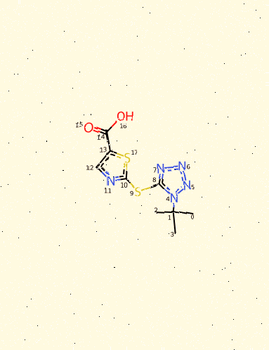 CC(C)(C)n1nnnc1Sc1ncc(C(=O)O)s1